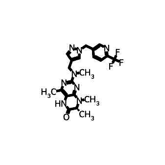 Cc1nc(N(C)Cc2cnn(Cc3ccc(C(F)(F)F)nc3)c2)nc2c1NC(=O)[C@H](C)N2C